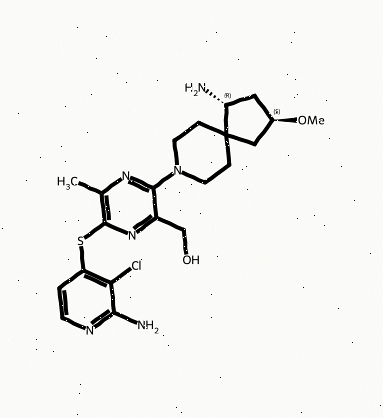 CO[C@@H]1C[C@@H](N)C2(CCN(c3nc(C)c(Sc4ccnc(N)c4Cl)nc3CO)CC2)C1